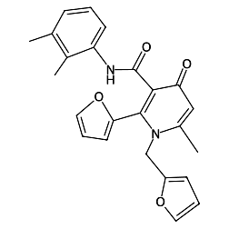 Cc1cccc(NC(=O)c2c(-c3ccco3)n(Cc3ccco3)c(C)cc2=O)c1C